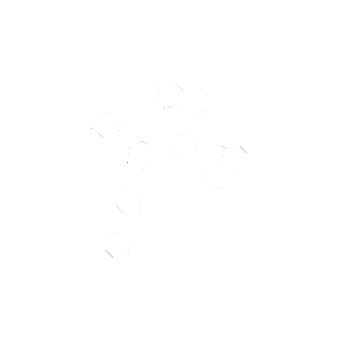 c1ccc(-c2ccc(-c3cc(-c4cc(-c5cccc6cccnc56)cc(-c5cccc6cccnc56)c4)nc(-c4cccnc4)n3)cc2)cc1